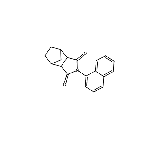 O=C1C2C3CCC(C3)C2C(=O)N1c1cccc2ccccc12